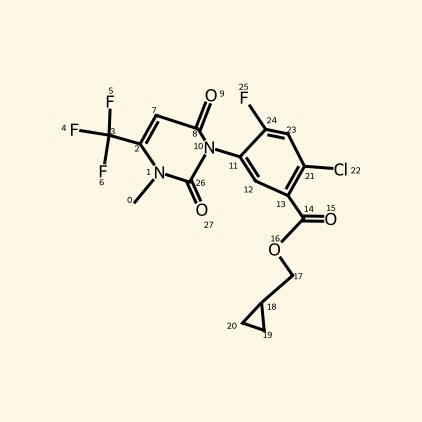 Cn1c(C(F)(F)F)cc(=O)n(-c2cc(C(=O)OCC3CC3)c(Cl)cc2F)c1=O